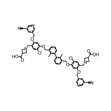 Cc1c(COc2cc(OCc3cncc(C#N)c3)c(CN3CC(C(=O)O)C3)cc2Cl)cccc1-c1cccc(COc2cc(OCc3cncc(C#N)c3)c(CN3CC(C(=O)O)C3)cc2Cl)c1C